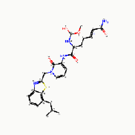 COC(O)N[C@@H](CC/C=C/C(N)=O)C(=O)Nc1cccn(Cc2nc3cccc(CC(C)C)c3s2)c1=O